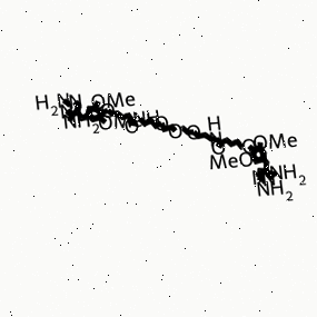 COc1cc(Cc2cnc(N)nc2N)cc(OC)c1OCCCCC(=O)NCCCOCCOCCOCCCNC(=O)CCCCOc1c(OC)cc(Cc2cnc(N)nc2N)cc1OC